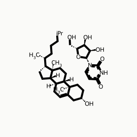 CC(C)CCC[C@@H](C)[C@H]1CC[C@H]2[C@@H]3CC=C4C[C@@H](O)CC[C@]4(C)[C@H]3CC[C@]12C.O=c1ccn([C@@H]2O[C@H](CO)[C@@H](O)[C@H]2O)c(=O)[nH]1